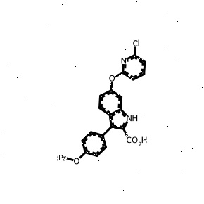 CC(C)Oc1ccc(-c2c(C(=O)O)[nH]c3cc(Oc4cccc(Cl)n4)ccc23)cc1